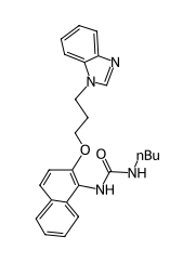 CCCCNC(=O)Nc1c(OCCCn2cnc3ccccc32)ccc2ccccc12